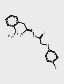 COc1ccccc1C/C(N)=N/OC(=O)COc1ccc(Br)cc1